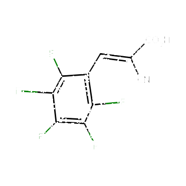 N#C/C(=C\c1c(F)c(F)c(F)c(F)c1F)C(=O)O